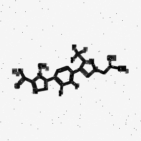 CC(O)Cn1cc(-c2ccc(-c3cnc(C(N)=O)n3C)c(F)c2F)c(C(F)(F)F)n1